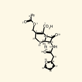 CC(C)C(=O)OCC1=C(C(=O)O)N2C(=O)[C@@H](NC(=O)Cc3ccco3)[C@H]2SC1